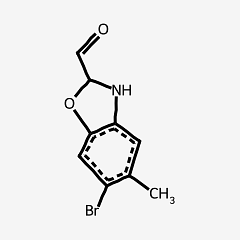 Cc1cc2c(cc1Br)OC(C=O)N2